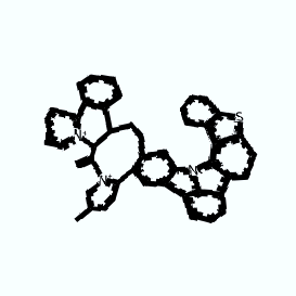 C=C1C2C(CCc3cc4c(cc3-c3ccc(C)c[n+]31)c1cccc3c5ccc6sc7ccccc7c6c5n4c13)c1ccccc1-c1cccc[n+]12